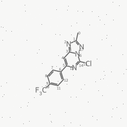 Cc1nc2cc(-c3ccc(C(F)(F)F)cc3)nc(Cl)n2n1